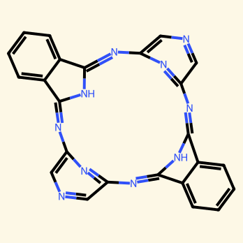 c1ccc2c3nc4cncc(n4)nc4[nH]c(nc5cncc(n5)nc([nH]3)c2c1)c1ccccc41